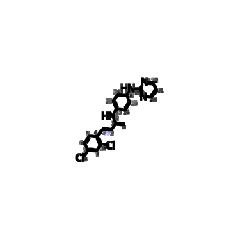 C=C(/C=C/c1ccc(Cl)cc1Cl)Nc1ccc(Nc2ncccn2)cc1